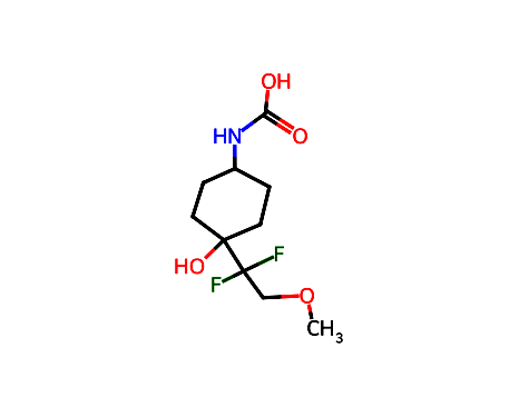 COCC(F)(F)C1(O)CCC(NC(=O)O)CC1